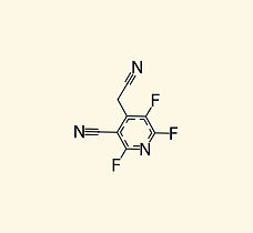 N#CCc1c(F)c(F)nc(F)c1C#N